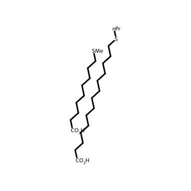 CCCSCCCCCCCCCCCCCC(=O)O.CSCCCCCCCCC(=O)O